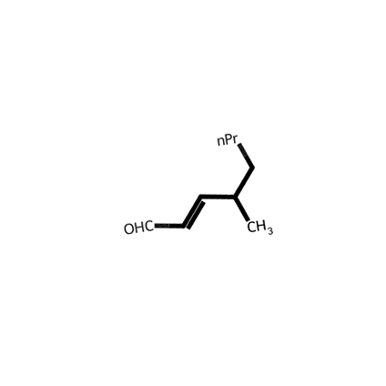 CCCCC(C)C=CC=O